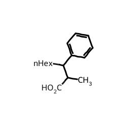 CCCCCCC(c1ccccc1)C(C)C(=O)O